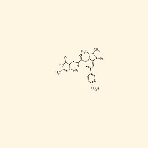 CCCc1cc(C)[nH]c(=O)c1CNC(=O)c1cc(-c2ccc(C(=O)O)nc2)cc2c1C(C)[C@@H](C)N2C(C)C